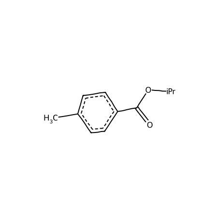 Cc1ccc(C(=O)OC(C)C)cc1